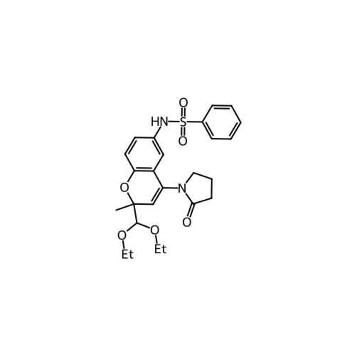 CCOC(OCC)C1(C)C=C(N2CCCC2=O)c2cc(NS(=O)(=O)c3ccccc3)ccc2O1